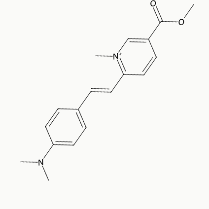 COC(=O)c1ccc(/C=C/c2ccc(N(C)C)cc2)[n+](C)c1